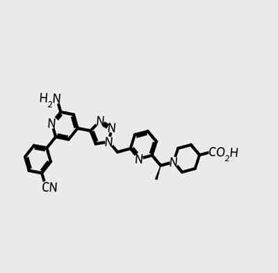 C[C@@H](c1cccc(Cn2cc(-c3cc(N)nc(-c4cccc(C#N)c4)c3)nn2)n1)N1CCC(C(=O)O)CC1